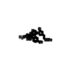 COCCC1CC(=O)N(c2cncc([C@@](O)(c3ccc(C(C)C)cc3)C3(C)CN(C)C3)c2)C1